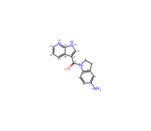 Nc1ccc2c(c1)CCN2C(=O)c1c[nH]c2ncccc12